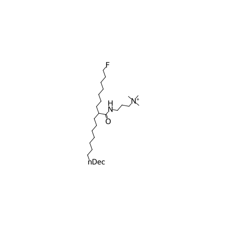 CCCCCCCCCCCCCCCCCC(CCCCCCCF)C(=O)NCCC[N+](C)(C)C